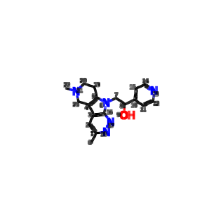 Cc1cc2c3c(n(CC(O)c4ccncc4)c2nn1)CCN(C)C3